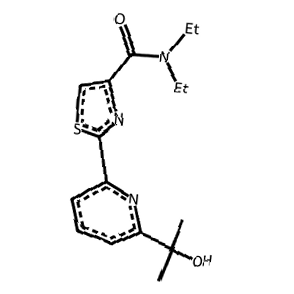 CCN(CC)C(=O)c1csc(-c2cccc(C(C)(C)O)n2)n1